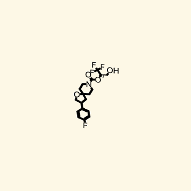 O=C(O[C@H](CO)C(F)(F)F)N1CCC2(CC1)CC(c1ccc(F)cc1)CO2